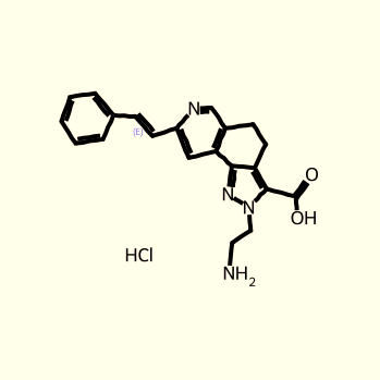 Cl.NCCn1nc2c(c1C(=O)O)CCc1cnc(/C=C/c3ccccc3)cc1-2